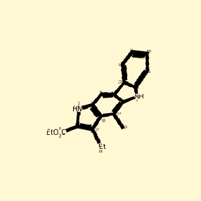 CCOC(=O)c1[nH]c2cc3c([nH]c4ccccc43)c(C)c2c1CC